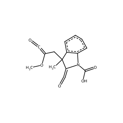 COC(=C=O)CC1(C)C(=C=O)N(C(=O)O)c2ccccc21